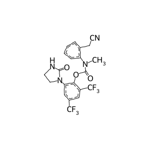 CN(C(=O)Oc1c(N2CCNC2=O)cc(C(F)(F)F)cc1C(F)(F)F)c1ccccc1CC#N